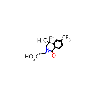 CCC1(C)CN(CCC(=O)O)C(=O)c2ccc(C(F)(F)F)cc21